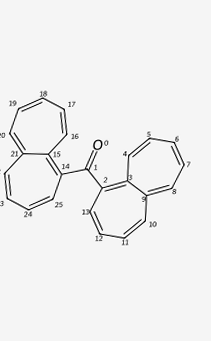 O=C(C1=C2C=CC=CC=C2C=CC=C1)C1=C2C=CC=CC=C2C=CC=C1